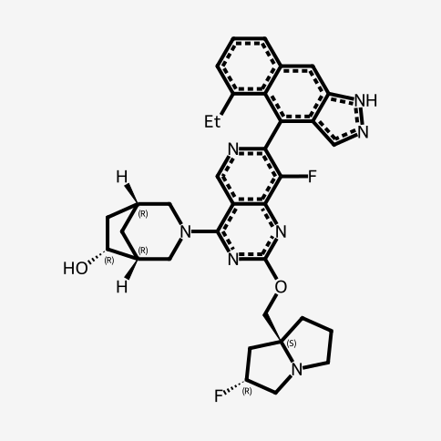 CCc1cccc2cc3[nH]ncc3c(-c3ncc4c(N5C[C@@H]6C[C@H](C5)[C@H](O)C6)nc(OC[C@@]56CCCN5C[C@H](F)C6)nc4c3F)c12